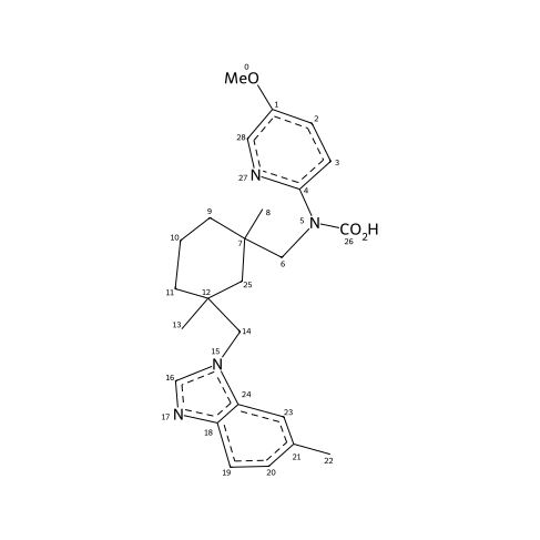 COc1ccc(N(CC2(C)CCCC(C)(Cn3cnc4ccc(C)cc43)C2)C(=O)O)nc1